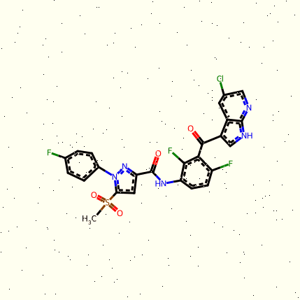 CS(=O)(=O)c1cc(C(=O)Nc2ccc(F)c(C(=O)c3c[nH]c4ncc(Cl)cc34)c2F)nn1-c1ccc(F)cc1